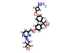 NC1CC(Oc2ccc(C3(c4ccc(OCc5ccnc(N6CC7(COC7)C6)n5)cc4)COC3)cc2)C1